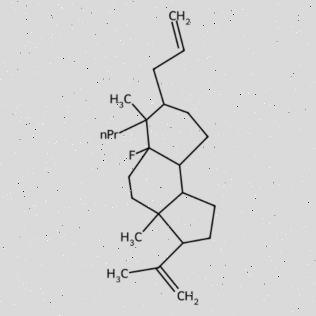 C=CCC1CCC2C3CCC(C(=C)C)C3(C)CCC2(F)C1(C)CCC